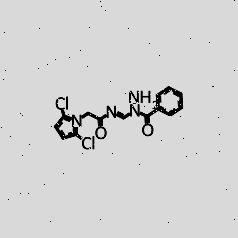 NN(C=NC(=O)Cn1c(Cl)ccc1Cl)C(=O)c1ccccc1